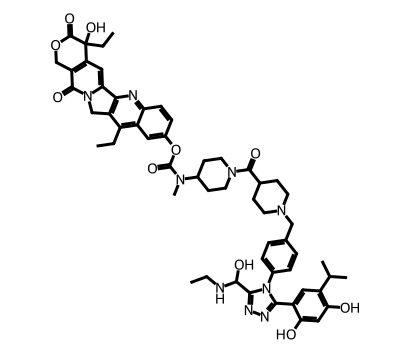 CCNC(O)c1nnc(-c2cc(C(C)C)c(O)cc2O)n1-c1ccc(CN2CCC(C(=O)N3CCC(N(C)C(=O)Oc4ccc5nc6c(c(CC)c5c4)Cn4c-6cc5c(c4=O)COC(=O)C5(O)CC)CC3)CC2)cc1